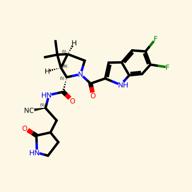 CC1(C)[C@@H]2[C@@H](C(=O)N[C@H](C#N)CC3CCNC3=O)N(C(=O)c3cc4cc(F)c(F)cc4[nH]3)C[C@@H]21